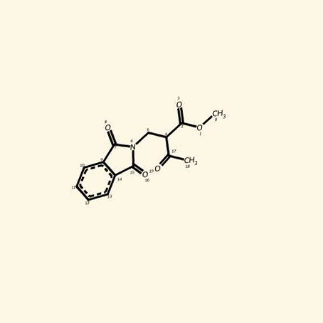 COC(=O)C(CN1C(=O)c2ccccc2C1=O)C(C)=O